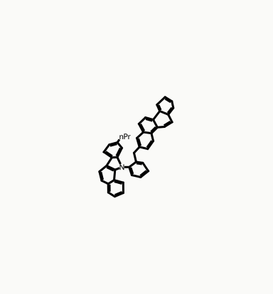 CCCc1ccc2c3ccc4ccccc4c3n(-c3ccccc3Cc3ccc4c(ccc5c6ccccc6ccc45)c3)c2c1